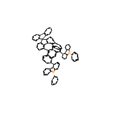 c1ccc(-p2c3ccccc3c3c(-c4cccc5c(-c6cccc7c6-c6c(ccc8ccccc68)C76c7ccccc7-c7ccccc76)c6cccc(-c7cccc8c7c7ccccc7p8-c7ccccc7)c6cc45)cccc32)cc1